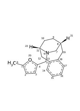 Cc1ccc(CN2C[C@@H]3CC[C@H]2Cc2ccccc2C3)o1